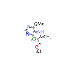 CCOCCC(C)Nc1c(Cl)ncnc1OC